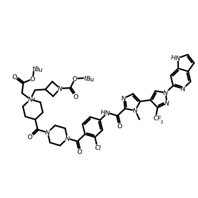 Cn1c(-c2cn(-c3cc4[nH]ccc4cn3)nc2C(F)(F)F)cnc1C(=O)Nc1ccc(C(=O)N2CCN(C(=O)C3CC[N+](CC(=O)OC(C)(C)C)(CC4CN(C(=O)OC(C)(C)C)C4)CC3)CC2)c(Cl)c1